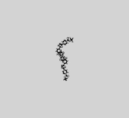 CC(C)(C)OC(=O)N1CCN(c2nnc([C@@H]3CC[C@@H]4CN3C(=O)N4OS(=O)(=O)ON3C(=O)N4C[C@H]3CC[C@H]4c3nnc(N4CCN(C(=O)OC(C)(C)C)CC4)o3)o2)CC1